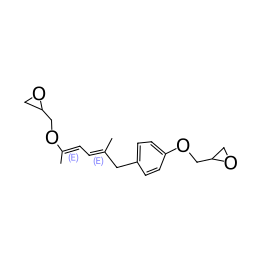 C/C(=C\C=C(/C)OCC1CO1)Cc1ccc(OCC2CO2)cc1